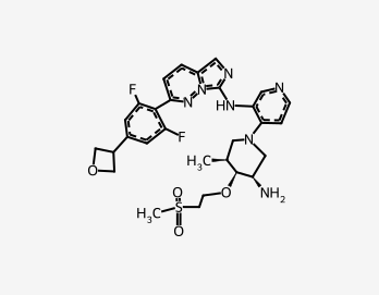 C[C@H]1CN(c2ccncc2Nc2ncc3ccc(-c4c(F)cc(C5COC5)cc4F)nn23)C[C@@H](N)[C@H]1OCCS(C)(=O)=O